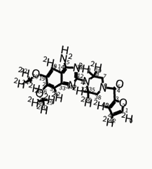 [2H]c1oc(C(=O)N2CC([2H])([2H])N(c3nc(N)c4c([2H])c(OC([2H])([2H])[2H])c(OC([2H])([2H])[2H])c([2H])c4n3)C([2H])([2H])C2)c([2H])c1[2H]